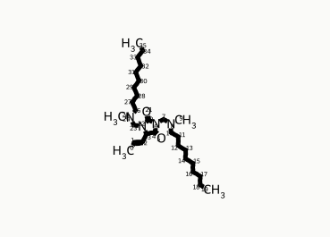 CC=CC1C(=O)N(CN(C)CCCCCCCCCC)C(=O)N1CN(C)CCCCCCCCCC